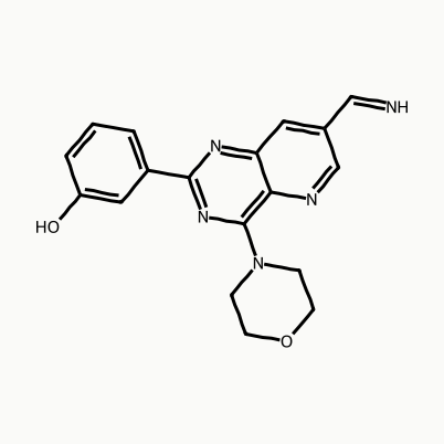 N=Cc1cnc2c(N3CCOCC3)nc(-c3cccc(O)c3)nc2c1